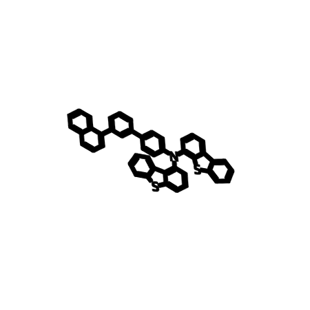 c1cc(-c2ccc(N(c3cccc4c3sc3ccccc34)c3cccc4sc5ccccc5c34)cc2)cc(-c2cccc3ccccc23)c1